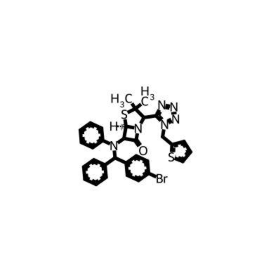 CC1(C)S[C@@H]2C(N(c3ccccc3)C(c3ccccc3)c3ccc(Br)cc3)C(=O)N2C1c1nnnn1Cc1cccs1